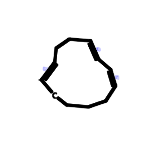 [C]1=C/CC/C=C/C=C\CCCC/1